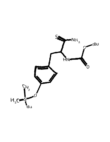 CC(C)(C)OC(=O)NC(Cc1ccc(O[Si](C)(C)C(C)(C)C)cc1)C(N)=S